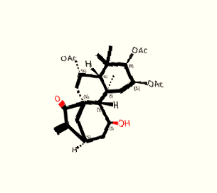 C=C1C(=O)[C@]23C[C@H]1C[C@H](O)[C@H]2[C@]1(C)C[C@H](OC(C)=O)[C@H](OC(C)=O)C(C)(C)[C@H]1[C@@H](OC(C)=O)C3